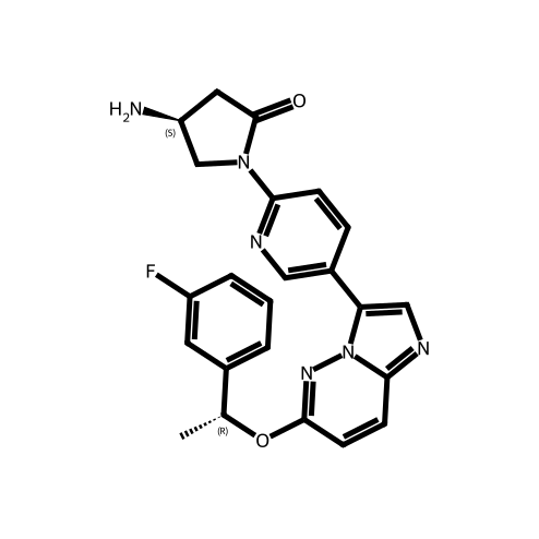 C[C@@H](Oc1ccc2ncc(-c3ccc(N4C[C@@H](N)CC4=O)nc3)n2n1)c1cccc(F)c1